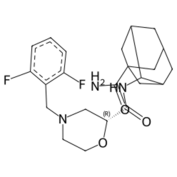 NC(=O)C12CC3CC(C1)C(NC(=O)[C@H]1CN(Cc4c(F)cccc4F)CCO1)C(C3)C2